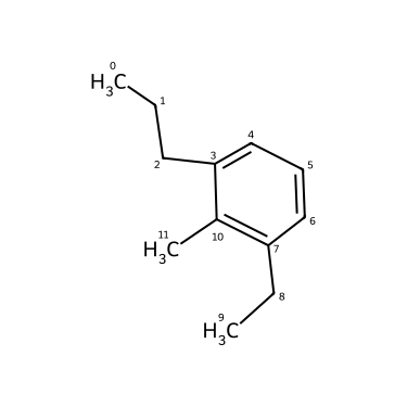 CCCc1cccc(CC)c1C